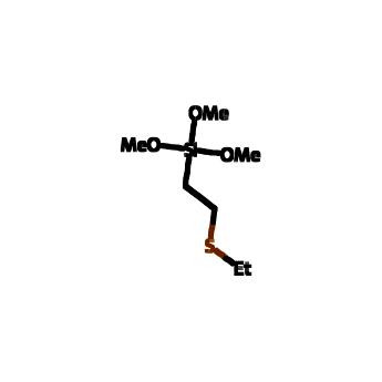 CCSCC[Si](OC)(OC)OC